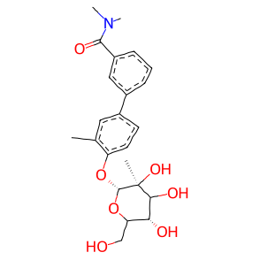 Cc1cc(-c2cccc(C(=O)N(C)C)c2)ccc1O[C@H]1OC(CO)[C@@H](O)C(O)[C@]1(C)O